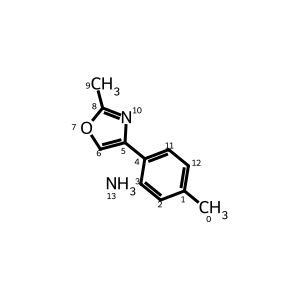 Cc1ccc(-c2coc(C)n2)cc1.N